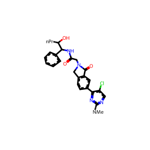 CCCC(O)C(NC(=O)CN1Cc2ccc(-c3nc(NC)ncc3Cl)cc2C1=O)c1ccccc1